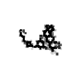 CCCCN1CC(Sc2cc(F)c([C@@H]3c4ccc5[nH]ncc5c4CN(C)[C@H]3CC(C)C)c(F)c2)C1